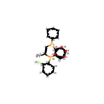 CC(C)/C(=C/P(c1ccccc1)c1ccccc1)P(c1ccccc1)c1ccccc1F